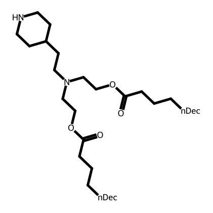 CCCCCCCCCCCCCC(=O)OCCN(CCOC(=O)CCCCCCCCCCCCC)CCC1CCNCC1